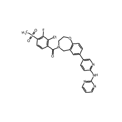 CCc1c(C(=O)N2CCOc3ccc(-c4ccc(Nc5ncccn5)nc4)cc3C2)ccc(S(C)(=O)=O)c1F